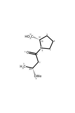 CO[C@H](C)CC(=O)N1CCC[C@H]1C(=O)O